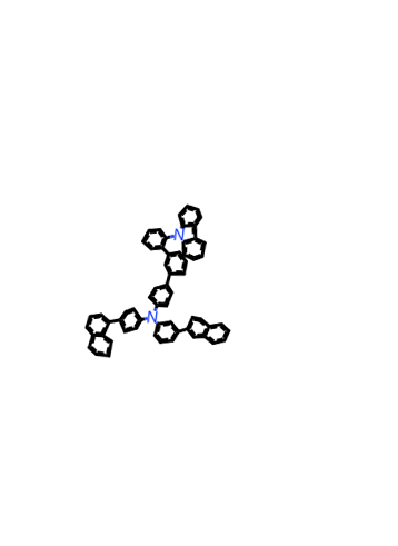 c1cc(-c2ccc(N(c3ccc(-c4cccc5ccccc45)cc3)c3cccc(-c4ccc5ccccc5c4)c3)cc2)cc(-c2ccccc2-n2c3ccccc3c3ccccc32)c1